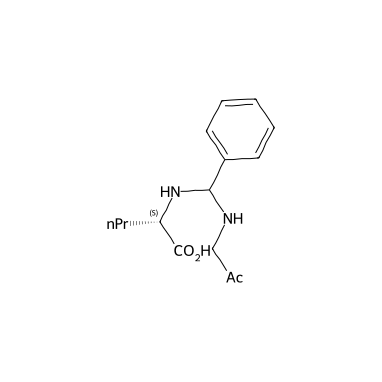 CCC[C@H](NC(NCC(C)=O)c1ccccc1)C(=O)O